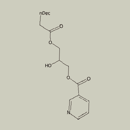 CCCCCCCCCCCC(=O)OCC(O)COC(=O)c1cccnc1